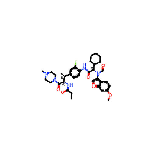 CCC(=O)N[C@@H](C(=O)N1CCN(C)CC1)[C@@H](C)c1ccc(NC(=O)[C@H](C2CCCCC2)N(C=O)c2coc3cc(OC)ccc23)c(F)c1